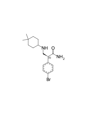 CC1(C)CCC(NC[C@@H](C(N)=O)c2ccc(Br)cc2)CC1